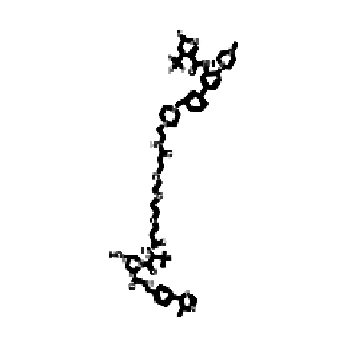 Cc1ncsc1-c1ccc(CNC(=O)[C@@H]2C[C@@H](O)CN2C(=O)[C@@H](NC(=O)CCOCCOCCOCCC(=O)NCCN2CCN(Cc3cccc(-c4ccc(N5CCN(C)CC5)c(NC(=O)c5c[nH]c(=O)cc5C(F)(F)F)c4)c3)CC2)C(C)(C)C)cc1